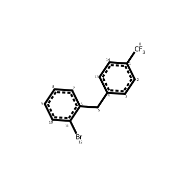 FC(F)(F)c1ccc(Cc2ccccc2Br)cc1